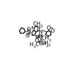 Cc1nc(NCc2cccc3c2OCO3)c2c(B3OC(C)(C)C(C)(C)O3)cn(S(=O)(=O)c3ccccc3)c2n1